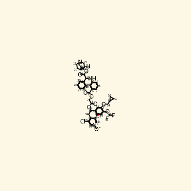 O=C(COC(=O)c1cccc(NC(C(=O)O[C@H]2CN3CCC2CC3)c2ccccc2F)c1)OC(Cc1c(Cl)c[n+]([O-])cc1Cl)c1ccc(OC(F)F)c(OCC2CC2)c1